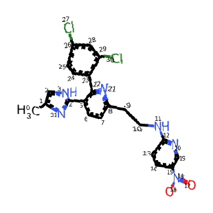 Cc1c[nH]c(-c2ccc([CH]CNc3ccc([N+](=O)[O-])cn3)nc2-c2ccc(Cl)cc2Cl)n1